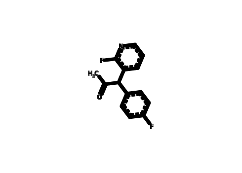 CC(=O)C(c1ccc(F)cc1)c1cccnc1F